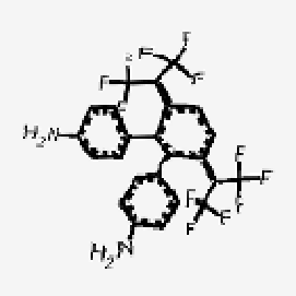 Nc1ccc(-c2c(-c3ccc(N)cc3)c(=C(C(F)(F)F)C(F)(F)F)ccc2=C(C(F)(F)F)C(F)(F)F)cc1